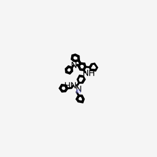 C1=CC(c2cc3c4ccccc4n(-c4ccccc4)c3cc2NC2=CCC(C(/N=C/c3ccccc3)NCc3ccccc3)C=C2)=CCC1